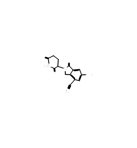 [CH2]c1cc(C#N)c2c(c1)C(=O)N(C1CCC(=O)NC1=O)C2